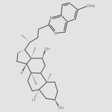 COc1ccc2nc(CC[C@@H](C)[C@H]3CC[C@H]4[C@@H]5CC[C@@H]6C[C@H](O)CC[C@]6(C)C5C[C@H](O)[C@]34C)ncc2c1